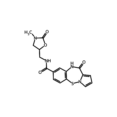 CN1CC(CNC(=O)c2ccc3c(c2)NC(=O)c2cccn2S3)OC1=O